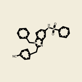 N#Cc1ccc(Cc2nc3cc(NS(=O)(=O)c4ccccc4)ccc3n2Cc2ccccc2)cc1